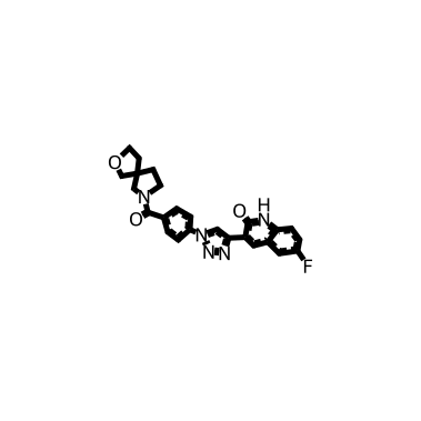 O=C(c1ccc(-n2cc(-c3cc4cc(F)ccc4[nH]c3=O)nn2)cc1)N1CCC2(CCOC2)C1